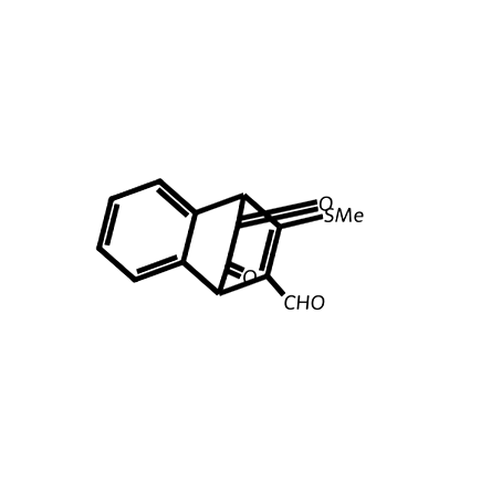 CSC1=C(C=O)C2C(=O)C(=O)C1c1ccccc12